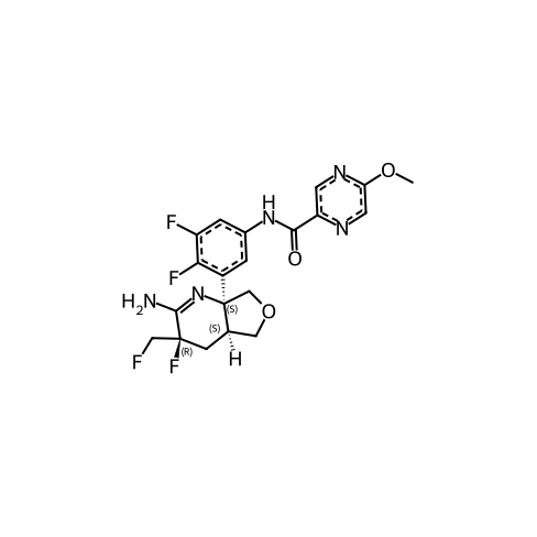 COc1cnc(C(=O)Nc2cc(F)c(F)c([C@]34COC[C@H]3C[C@](F)(CF)C(N)=N4)c2)cn1